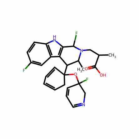 CC(CN1C(F)c2[nH]c3ccc(F)cc3c2C(C2(OC3(F)C=CC=NC3)C=CC=CC2)C1C)C(=O)O